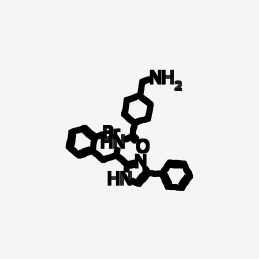 NCC1CCC(C(=O)NC(Cc2ccccc2Br)c2nc(-c3ccccc3)c[nH]2)CC1